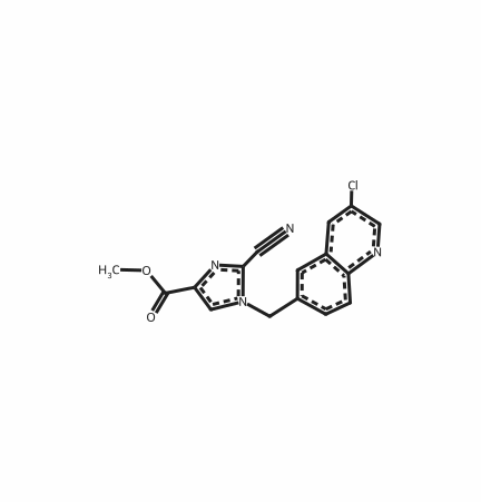 COC(=O)c1cn(Cc2ccc3ncc(Cl)cc3c2)c(C#N)n1